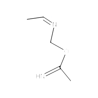 C/C=N\COC(C)=N